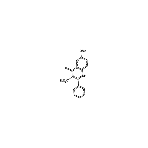 CCOC(=O)c1c(-c2ccccc2)[nH]c2ccc(OC)cc2c1=O